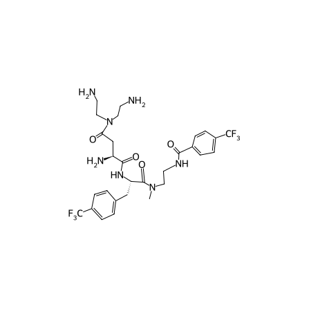 CN(CCNC(=O)c1ccc(C(F)(F)F)cc1)C(=O)[C@H](Cc1ccc(C(F)(F)F)cc1)NC(=O)[C@@H](N)CC(=O)N(CCN)CCN